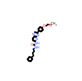 COCCOc1ccc(-c2cnc3ccc(NC(=O)NCCCCc4ccccc4)nc3n2)cc1